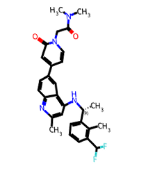 Cc1cc(N[C@H](C)c2cccc(C(F)F)c2C)c2cc(-c3ccn(CC(=O)N(C)C)c(=O)c3)ccc2n1